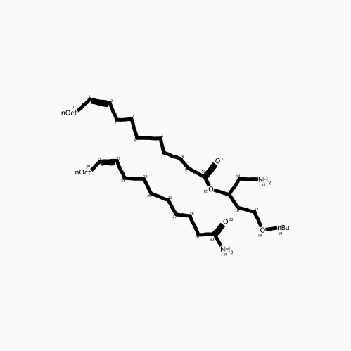 CCCCCCCC/C=C\CCCCCCCC(=O)OC(CN)CCOCCCC.CCCCCCCC/C=C\CCCCCCCC(N)=O